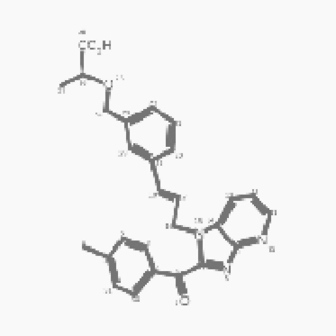 Cc1ccc(C(=O)c2nc3ncccc3n2C/C=C/c2cccc(CO[C@@H](C)C(=O)O)c2)cc1